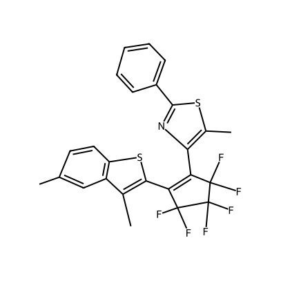 Cc1ccc2sc(C3=C(c4nc(-c5ccccc5)sc4C)C(F)(F)C(F)(F)C3(F)F)c(C)c2c1